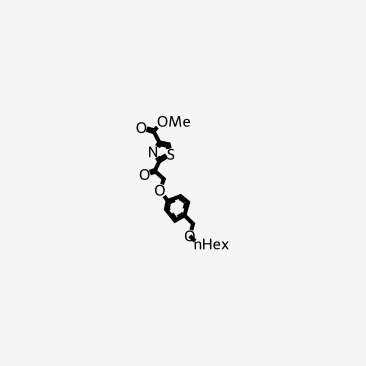 CCCCCCOCc1ccc(OCC(=O)c2nc(C(=O)OC)cs2)cc1